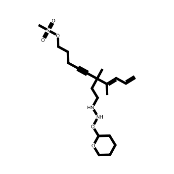 C=C/C=C(\C)C(C)(C#CCCCOS(C)(=O)=O)CCNNOC1CCCCO1